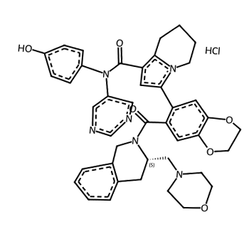 Cl.O=C(c1cc(-c2cc3c(cc2C(=O)N2Cc4ccccc4C[C@H]2CN2CCOCC2)OCCO3)n2c1CCCC2)N(c1ccc(O)cc1)c1cncnc1